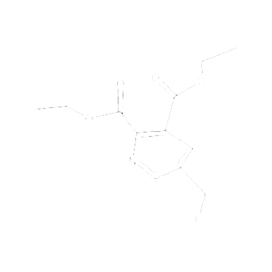 CCOC(=O)c1cc(CCl)cnc1C(=O)OCC